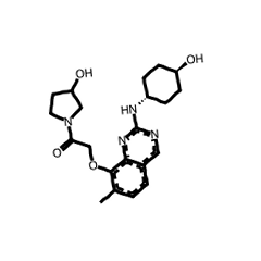 Cc1ccc2cnc(N[C@H]3CC[C@H](O)CC3)nc2c1OCC(=O)N1CCC(O)C1